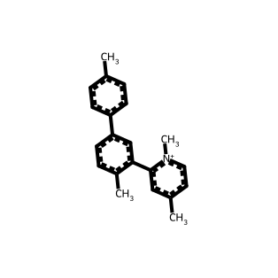 Cc1ccc(-c2ccc(C)c(-c3cc(C)cc[n+]3C)c2)cc1